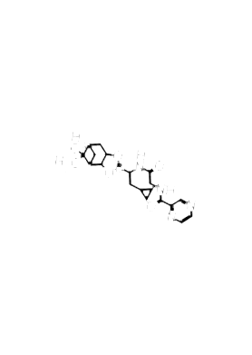 CC1(C)C2CC3OB(C(CC4CC4)NC(=O)CNC(=O)c4cnccn4)OC3C1C2